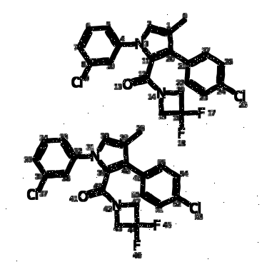 Cc1cn(-c2cccc(Cl)c2)c(C(=O)N2CC(F)(F)C2)c1-c1ccc(Cl)cc1.Cc1cn(-c2cccc(Cl)c2)c(C(=O)N2CC(F)(F)C2)c1-c1ccc(Cl)cc1